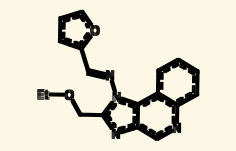 CCOCc1nc2cnc3ccccc3c2n1/N=C/c1ccco1